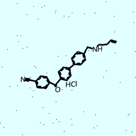 C=CCCNCc1ccc(-c2ccc(C(=O)c3ccc(C#N)cc3)cc2)cc1.Cl